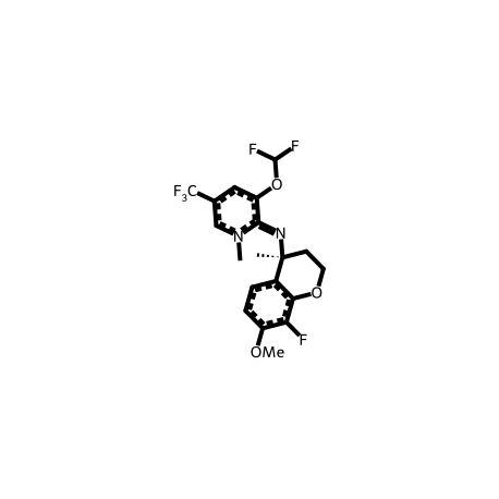 COc1ccc2c(c1F)OCC[C@]2(C)/N=c1/c(OC(F)F)cc(C(F)(F)F)cn1C